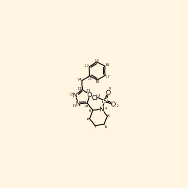 O=S(=O)(Cl)N1CCCCC1c1nnc(Cc2ccccc2)o1